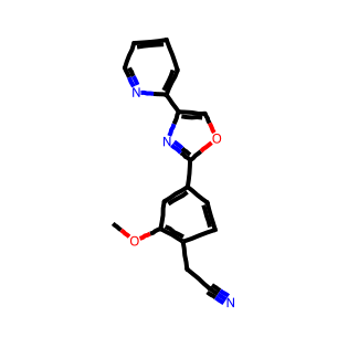 COc1cc(-c2nc(-c3ccccn3)co2)ccc1CC#N